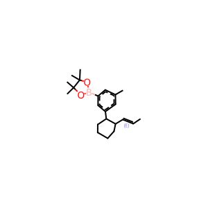 C/C=C/C1CCCCC1c1cc(C)cc(B2OC(C)(C)C(C)(C)O2)c1